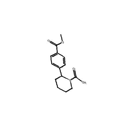 COC(=O)c1ccc(C2CCCCN2C(=O)O)cc1